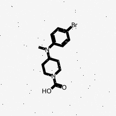 CN(c1ccc(Br)cc1)C1CCN(C(=O)O)CC1